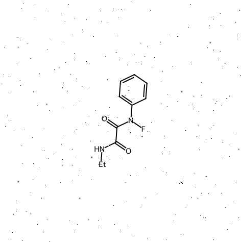 CCNC(=O)C(=O)N(F)c1ccccc1